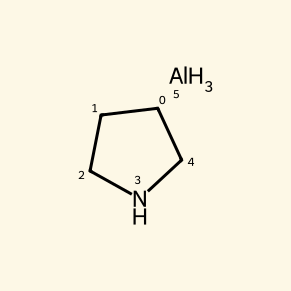 C1CCNC1.[AlH3]